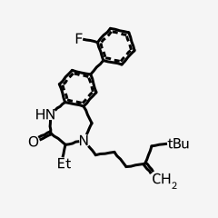 C=C(CCCN1Cc2cc(-c3ccccc3F)ccc2NC(=O)C1CC)CC(C)(C)C